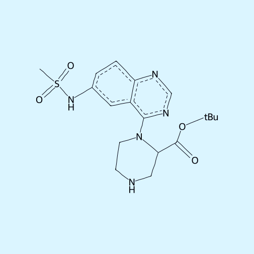 CC(C)(C)OC(=O)C1CNCCN1c1ncnc2ccc(NS(C)(=O)=O)cc12